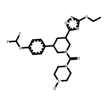 CCOc1noc(C2CC(c3ccc(OC(F)F)cc3)CN(C(=O)N3CC[S+]([O-])CC3)C2)n1